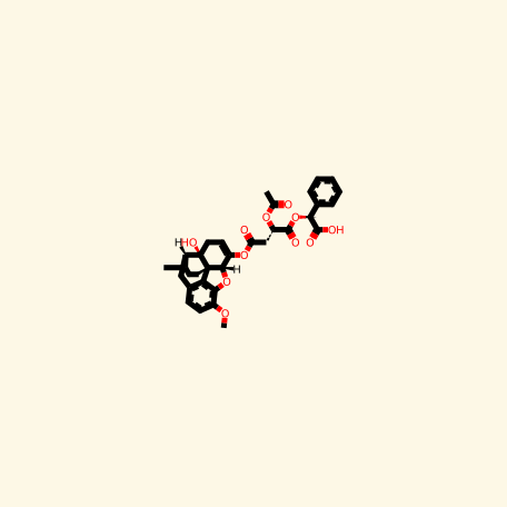 COc1ccc2c3c1O[C@H]1C(OC(=O)C[C@H](OC(C)=O)C(=O)O[C@H](C(=O)O)c4ccccc4)=CC[C@@]4(O)[C@@H](C2)C(C)CC[C@]314